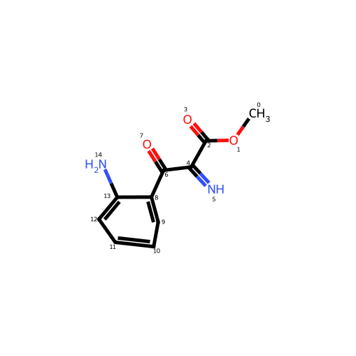 COC(=O)C(=N)C(=O)c1ccccc1N